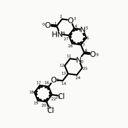 O=C1COc2ncc(C(=O)N3CCC(COc4cccc(Cl)c4Cl)CC3)cc2N1